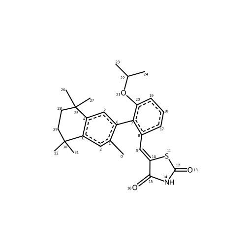 Cc1cc2c(cc1-c1c(C=C3SC(=O)NC3=O)cccc1OC(C)C)C(C)(C)CCC2(C)C